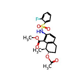 COC(=O)c1c(NS(=O)(=O)c2ccccc2F)ccc2c1[C@H](C)[C@@H](OC(C)=O)CC2